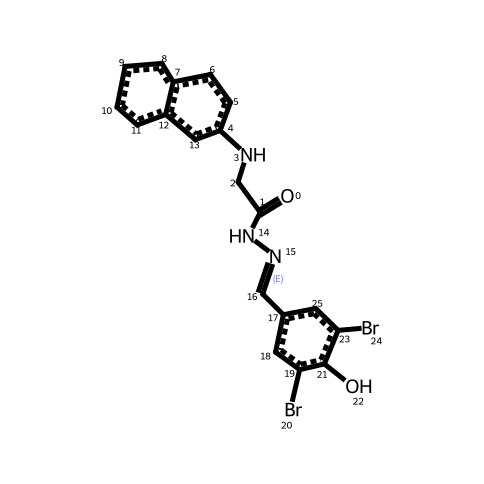 O=C(CNc1ccc2ccccc2c1)N/N=C/c1cc(Br)c(O)c(Br)c1